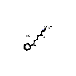 CN(CCOC(=O)/C=C/C(=O)O)c1ccccc1.Cl